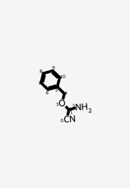 N#CC(N)OCc1ccccc1